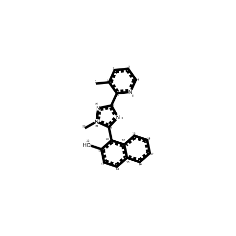 Cc1cccnc1-c1nc(-c2c(O)ccc3ccccc23)n(C)n1